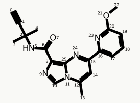 C#CC(C)(C)NC(=O)c1ncn2c(C)cc(-c3cccc(OC)n3)nc12